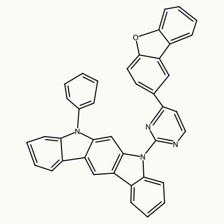 c1ccc(-n2c3ccccc3c3cc4c5ccccc5n(-c5nccc(-c6ccc7oc8ccccc8c7c6)n5)c4cc32)cc1